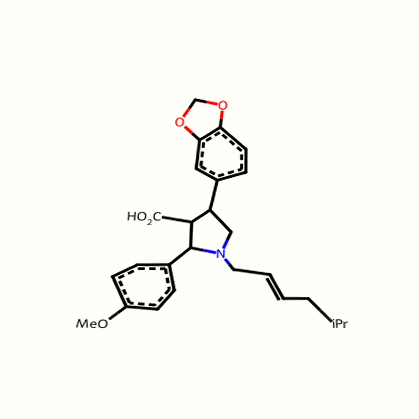 COc1ccc(C2C(C(=O)O)C(c3ccc4c(c3)OCO4)CN2CC=CCC(C)C)cc1